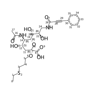 CCSCCCO[C@]1(C(=O)O)C[C@H](O)[C@@H](NC(C)=O)[C@H]([C@H](O)[C@H](O)CNC(=O)C#Cc2ccccc2)O1